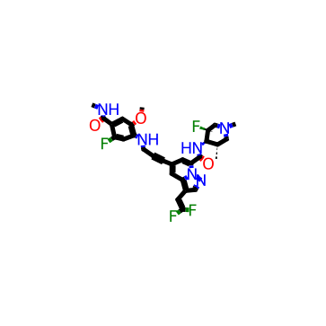 CNC(=O)c1cc(OC)c(NCC#Cc2cc(C(=O)N[C@@H]3[C@@H](C)CN(C)C[C@@H]3F)n3ncc(C=C(F)F)c3c2)cc1F